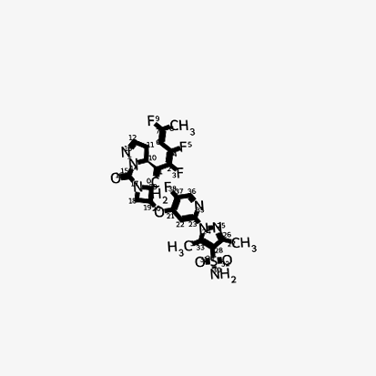 C=C(/C(F)=C(F)\C=C(/C)F)[C@@H]1CC=NN1C(=O)N1CC(Oc2cc(-n3nc(C)c(S(N)(=O)=O)c3C)ncc2F)C1